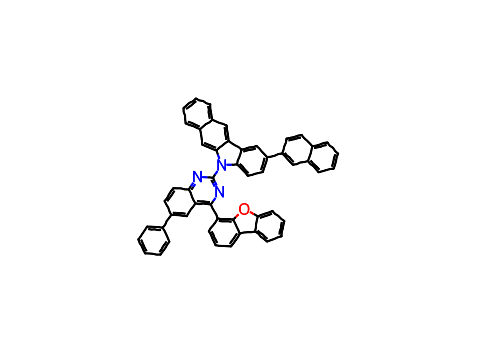 c1ccc(-c2ccc3nc(-n4c5ccc(-c6ccc7ccccc7c6)cc5c5cc6ccccc6cc54)nc(-c4cccc5c4oc4ccccc45)c3c2)cc1